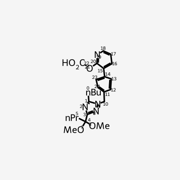 CCCCc1nc(C(CCC)(OC)OC)nn1Cc1ccc(-c2cccnc2OC(=O)O)cc1